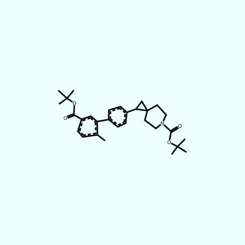 Cc1ccc(C(=O)OC(C)(C)C)cc1-c1ccc(C2CC23CCN(C(=O)OC(C)(C)C)CC3)cc1